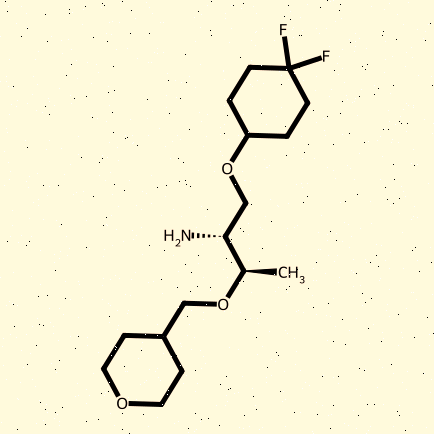 C[C@@H](OCC1CCOCC1)[C@H](N)COC1CCC(F)(F)CC1